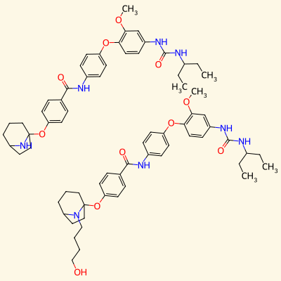 CCC(CC)NC(=O)Nc1ccc(Oc2ccc(NC(=O)c3ccc(OC45CCCC(CC4)N5)cc3)cc2)c(OC)c1.CCC(CC)NC(=O)Nc1ccc(Oc2ccc(NC(=O)c3ccc(OC45CCCC(CC4)N5CCCCO)cc3)cc2)c(OC)c1